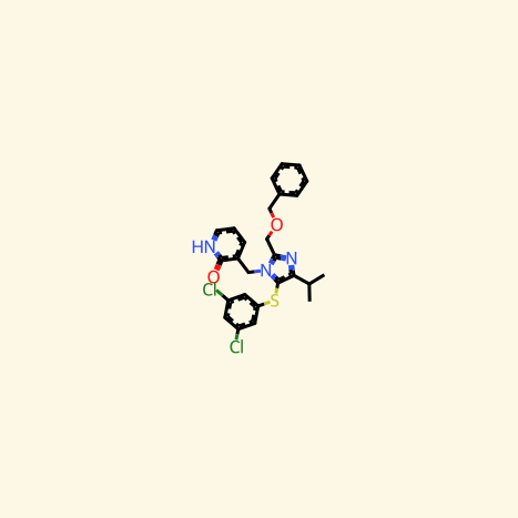 CC(C)c1nc(COCc2ccccc2)n(Cc2ccc[nH]c2=O)c1Sc1cc(Cl)cc(Cl)c1